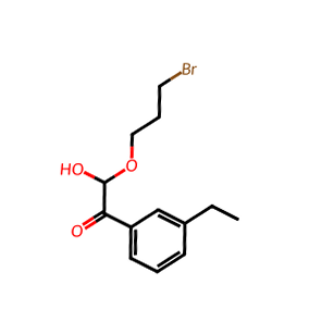 CCc1cccc(C(=O)C(O)OCCCBr)c1